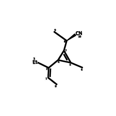 C/C=C(/CC)C1C(C)=C1[C@@H](C)C#N